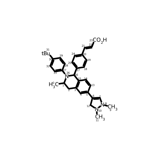 CC1Cc2cc(C3=CN(C)N(C)C3)ccc2C(c2ccc(/C=C/C(=O)O)cc2)N1c1ccc(C(C)(C)C)cc1